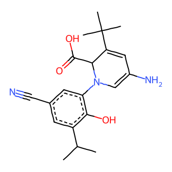 CC(C)c1cc(C#N)cc(N2C=C(N)C=C(C(C)(C)C)C2C(=O)O)c1O